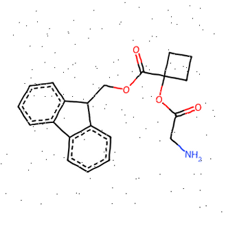 NCC(=O)OC1(C(=O)OCC2c3ccccc3-c3ccccc32)CCC1